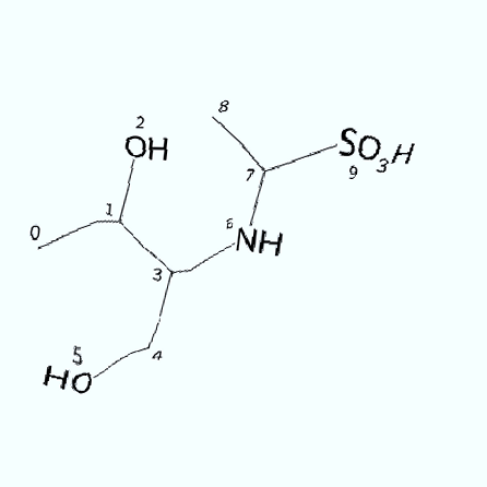 CC(O)C(CO)NC(C)S(=O)(=O)O